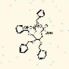 COP(=O)(CC[C@@H](OCc1ccccc1)[C@@H](OCc1ccccc1)[C@@H](CN(C=O)OCc1ccccc1)OCc1ccccc1)OC